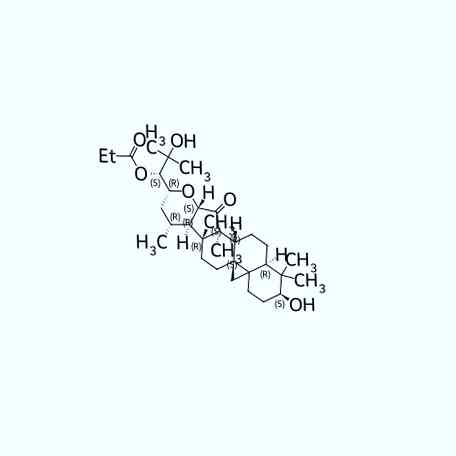 CCC(=O)O[C@@H]([C@H]1C[C@@H](C)[C@H]2[C@H](O1)C(=O)[C@@]1(C)[C@@H]3CC[C@H]4C(C)(C)[C@@H](O)CCC45C[C@@]35CC[C@]21C)C(C)(C)O